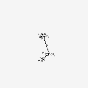 CC(C)(CCCCOCCCCC(C)(C)S(N)(=O)=O)CCCCS(N)(=O)=O